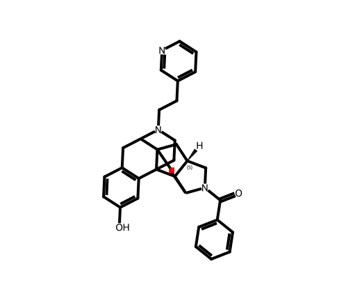 O=C(c1ccccc1)N1C[C@H]2CC34CCC1C2C31CCN(CCc2cccnc2)C4Cc2ccc(O)cc21